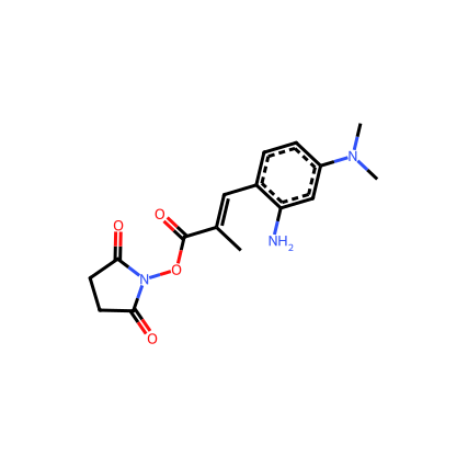 CC(=Cc1ccc(N(C)C)cc1N)C(=O)ON1C(=O)CCC1=O